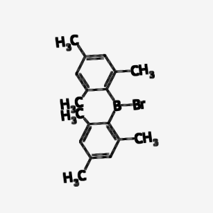 Cc1cc(C)c(B(Br)c2c(C)cc(C)cc2C)c(C)c1